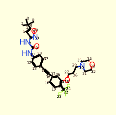 CC(C)(C)c1cc(NC(=O)Nc2ccc(C#Cc3ccc(C(F)(F)F)c(OCCCN4CCOCC4)c3)cc2)no1